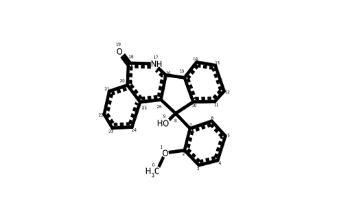 COc1ccccc1C1(O)c2ccccc2-c2[nH]c(=O)c3ccccc3c21